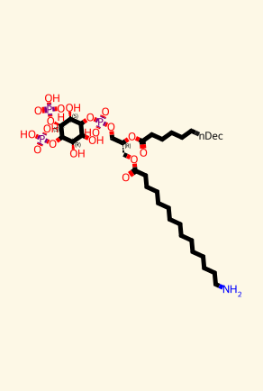 CCCCCCCCCCCCCCCC(=O)O[C@H](COC(=O)CCCCCCCCCCCCCCN)COP(=O)(O)OC1C(O)[C@@H](O)C(OP(=O)(O)O)[C@@H](OP(=O)(O)O)[C@H]1O